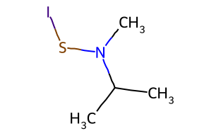 CC(C)N(C)SI